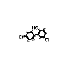 CCc1ccc(-c2cc(Cl)ccc2O)cc1